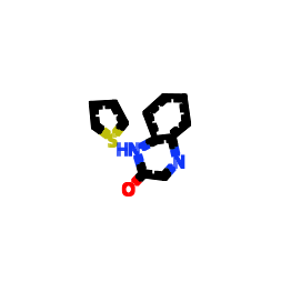 O=c1cnc2ccccc2[nH]1.c1ccsc1